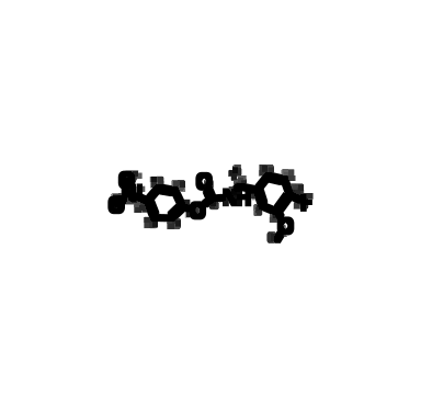 COc1cc([C@@H](C)NC(=O)Oc2ccc([N+](=O)[O-])cc2)ccc1F